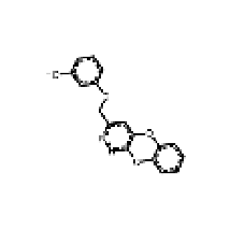 Oc1cccc(OCc2cc3c(nn2)Oc2ccccc2O3)c1